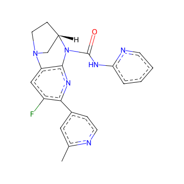 Cc1cc(-c2nc3c(cc2F)N2CC[C@@H](C2)N3C(=O)Nc2ccccn2)ccn1